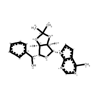 Cc1ncnc2c1ccn2[C@@H]1O[C@H](C(O)c2ccccc2)[C@H]2OC(C)(C)O[C@H]21